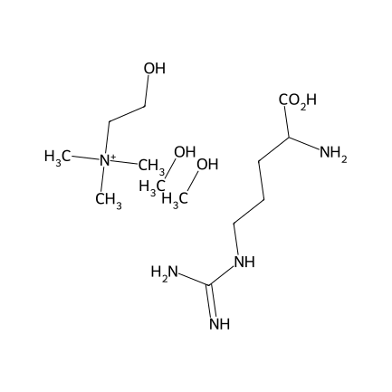 CO.CO.C[N+](C)(C)CCO.N=C(N)NCCCC(N)C(=O)O